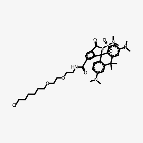 CN(C)c1ccc2c(c1)C(C)(C)c1cc(N(C)C)ccc1C21c2cc(C(=O)NCCOCCOCCCCCCCl)ccc2C(=O)N1S(=O)(=O)N(C)C